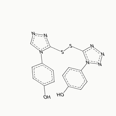 Oc1ccc(-n2cnnc2SSc2nnnn2-c2ccc(O)cc2)cc1